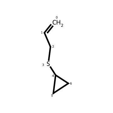 C=CCSC1CC1